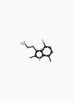 Cc1sc2c(C)ccc(F)c2c1CCN